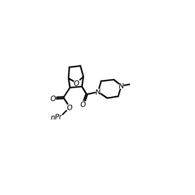 CCCOC(=O)C1C2CCC(O2)C1C(=O)N1CCN(C)CC1